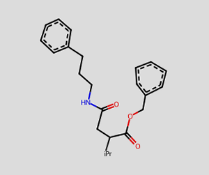 CC(C)C(CC(=O)NCCCc1ccccc1)C(=O)OCc1ccccc1